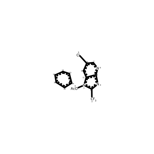 CC(=O)On1c(C(F)(F)F)nc2ncc(Cl)cc21.c1ccccc1